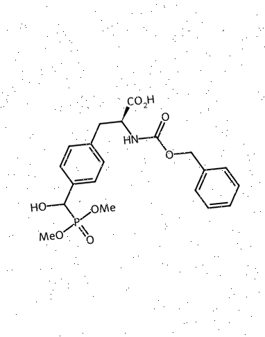 COP(=O)(OC)C(O)c1ccc(C[C@H](NC(=O)OCc2ccccc2)C(=O)O)cc1